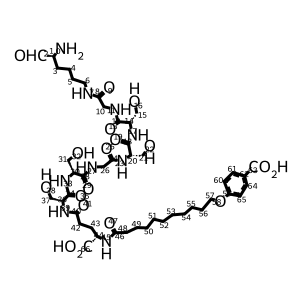 N[C@H](C=O)CCCCNC(=O)CNC(=O)[C@H](CO)NC(=O)[C@H](CO)NC(=O)CNC(=O)[C@H](CO)NC(=O)[C@H](CO)NC(=O)CC[C@H](NC(=O)CCCCCCCCCCOc1ccc(C(=O)O)cc1)C(=O)O